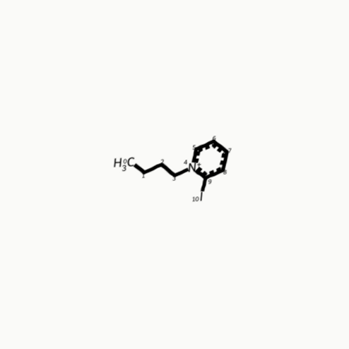 CCCC[n+]1ccccc1I